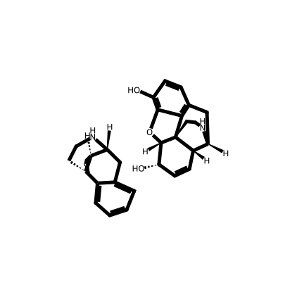 Oc1ccc2c3c1O[C@H]1[C@@H](O)C=C[C@H]4[C@@H](C2)NCC[C@@]341.c1ccc2c(c1)C[C@H]1NCC[C@@]23CCCC[C@@H]13